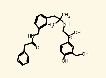 CC(C)(Cc1cccc(CNC(=O)Cc2ccccc2)c1)NC[C@@H](O)c1ccc(O)c(CO)c1